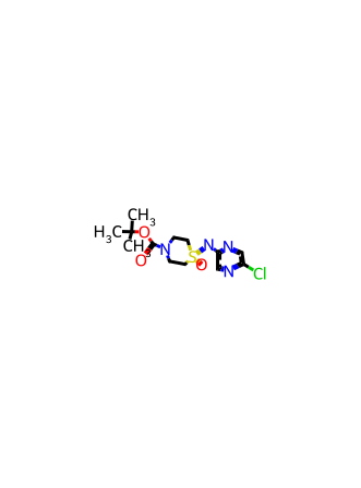 CC(C)(C)OC(=O)N1CCS(=O)(=Nc2cnc(Cl)cn2)CC1